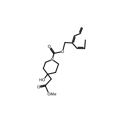 C=C/C=C(\C=C/C)COC(=O)N1CCC(O)(CC(=O)OC)CC1